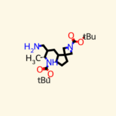 C[C@@H](NC(=O)OC(C)(C)C)C(CN)CC1CCCC12CN(C(=O)OC(C)(C)C)C2